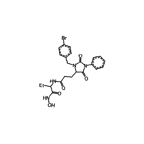 CCC(NC(=O)CCC1C(=O)N(c2ccccc2)C(=O)N1Cc1ccc(Br)cc1)C(=O)NO